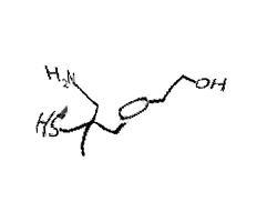 CC(S)(CN)COCCO